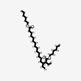 CCCCCCOC(=O)CCCCCCCCCCCCCC(CC)C(CC)C(=O)OCCCCCC